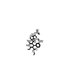 CCOC(=O)C1=C(CC)NC(C)=C(C(=O)[C@]2(O)CO[C@@H]3[C@H](O[N+](=O)[O-])CO[C@@H]32)C1c1cccc([N+](=O)[O-])c1